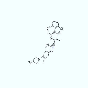 C=N/C(=N\C1=C(C)C(=O)N(c2c(Cl)cccc2Cl)C(C)S1)Nc1ccc(N2CCC(N(C)C)CC2)c(C)c1